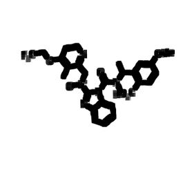 COc1ccc(C(=O)O)c(C(C)N(C)C(=O)n2c([S+]([O-])Cc3nccc(OCC(F)(F)F)c3C)nc3ccccc32)c1